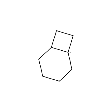 C1CCC2CC[C]2C1